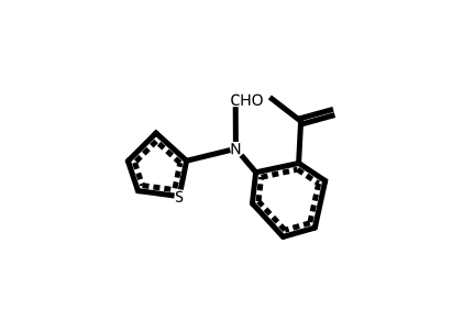 C=C(C)c1ccccc1N(C=O)c1cccs1